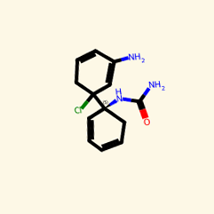 NC(=O)N[C@]1(C2(Cl)C=C(N)C=CC2)C=CC=CC1